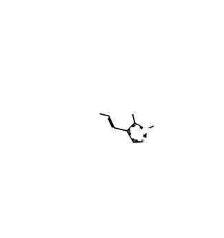 C/C=C/c1cnn(C)c1F